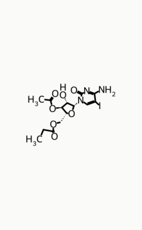 CCC(=O)OC[C@H]1O[C@@H](n2cc(I)c(N)nc2=O)[C@@H](O)[C@@H]1OC(C)=O